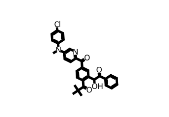 CN(c1ccc(Cl)cc1)c1ccc(C(=O)c2ccc(C(=O)C(C)(C)C)c(C(O)C(=O)c3ccccc3)c2)nc1